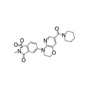 CN1C(=O)c2cc(N3CCOc4cc(C(=O)N5CCCCC5)cnc43)ccc2S1(=O)=O